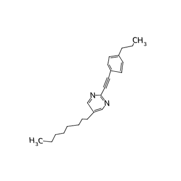 CCCCCCCCc1cnc(C#Cc2ccc(CCC)cc2)nc1